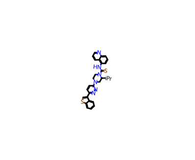 CC(C)C1CN(c2ccc(-c3csc4ccccc34)nn2)CCN1C(=S)Nc1cccc2ncccc12